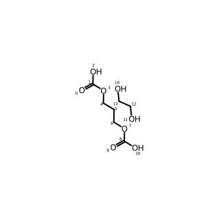 O=C(O)OCCCOC(=O)O.OCCO